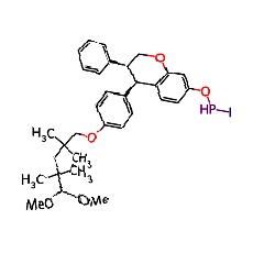 COC(OC)C(C)(C)CC(C)(C)COc1ccc([C@@H]2c3ccc(OPI)cc3OC[C@@H]2c2ccccc2)cc1